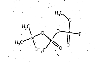 COP(=O)(F)OP(=O)(F)O[Si](C)(C)C